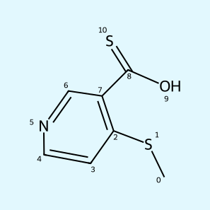 CSc1ccncc1C(O)=S